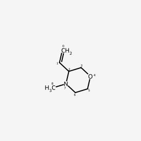 C=CC1COCCN1C